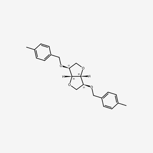 Cc1ccc(CO[C@H]2CO[C@H]3[C@@H]2OC[C@@H]3OCc2ccc(C)cc2)cc1